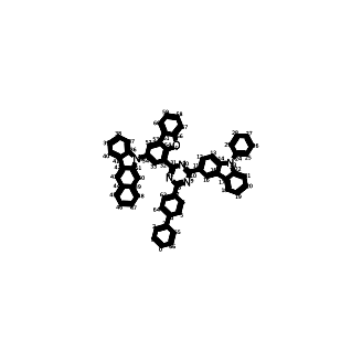 c1ccc(-c2ccc(-c3nc(-c4ccc5c(c4)c4ccccc4n5-c4ccccc4)nc(-c4cc(-n5c6ccccc6c6cc7ccccc7cc65)cc5c4oc4ccccc45)n3)cc2)cc1